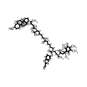 CC1=C(C)C(=O)C(C(C)(C)CC(=O)N(C)CCN(CCCCCC(=O)NCCCCC(NC(=O)CCC(C)[C@H]2CC[C@H]3[C@@H]4CC[C@@H]5C[C@H](O)CC[C@]5(C)[C@H]4CC[C@]23C)C(=O)O)C(=O)Oc2ccc3nc(C#N)sc3c2)=C(C)C1=O